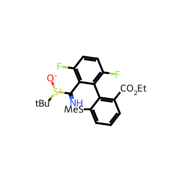 CCOC(=O)c1cccc(SC)c1-c1c(F)ccc(F)c1C(=N)[S+]([O-])C(C)(C)C